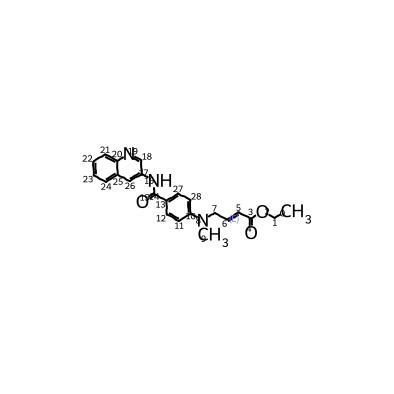 CCOC(=O)/C=C/CN(C)c1ccc(C(=O)Nc2cnc3ccccc3c2)cc1